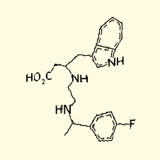 CC(NCCN[C@@H](CC(=O)O)Cc1c[nH]c2ccccc12)c1ccc(F)cc1